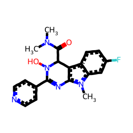 CN(C)C(=O)C1c2c(n(C)c3cc(F)ccc23)N=C(c2ccncc2)N1O